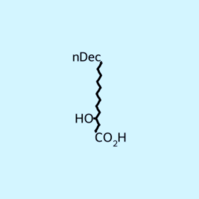 CCCCCCCCCCCCCCCCCCCC(O)CCC(=O)O